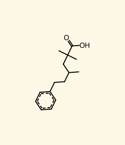 CC(CCc1ccccc1)CC(C)(C)C(=O)O